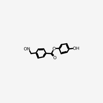 O=NCc1ccc(C(=O)Oc2ccc(O)cc2)cc1